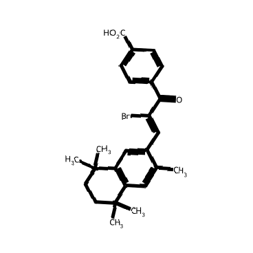 Cc1cc2c(cc1C=C(Br)C(=O)c1ccc(C(=O)O)cc1)C(C)(C)CCC2(C)C